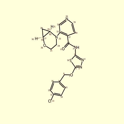 O=C(Nc1nnc(OCc2ccc(Cl)cc2)s1)c1ccncc1N1CCO[C@H]2C[C@H]21